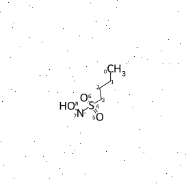 CCCCS(=O)(=O)[N]O